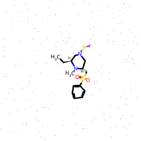 CC[C@H]1CN(SI)C[C@H](CS(=O)(=O)c2ccccc2)N1C